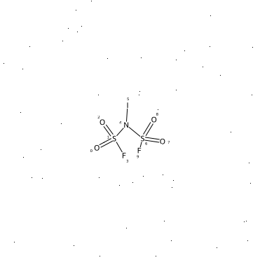 O=S(=O)(F)N(I)S(=O)(=O)F